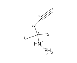 C#CCC(C)(C)NP